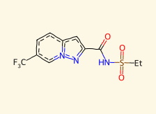 CCS(=O)(=O)NC(=O)c1cc2ccc(C(F)(F)F)cn2n1